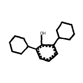 Oc1c(C2CCCCC2)[c]ccc1C1CCCCC1